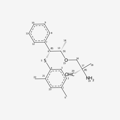 Cc1ccc(S[C@H](c2ccccc2)[C@H](C)OC[C@@](C)(N)C=O)c(C)c1